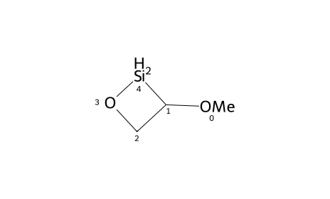 COC1CO[SiH2]1